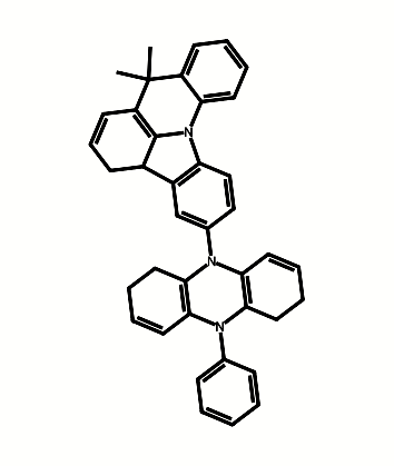 CC1(C)C2=C3C(CC=C2)c2cc(N4C5=C(CCC=C5)N(c5ccccc5)C5=C4CCC=C5)ccc2N3c2ccccc21